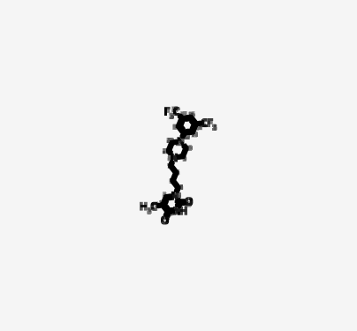 Cc1cn(CCCCN2CCN(c3cc(C(F)(F)F)cc(C(F)(F)F)c3)CC2)c(=O)[nH]c1=O